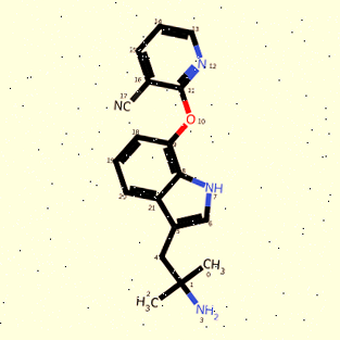 CC(C)(N)Cc1c[nH]c2c(Oc3ncccc3C#N)cccc12